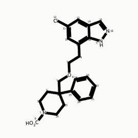 O=C(O)N1CCC(COCCc2cc(Cl)cc3cn[nH]c23)(c2ccccc2)CC1